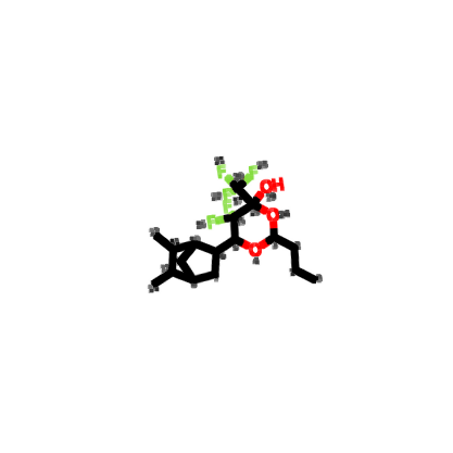 CCCC1OC(C2CC3CC2C(C)C3C)C(F)(F)C(O)(C(F)(F)F)O1